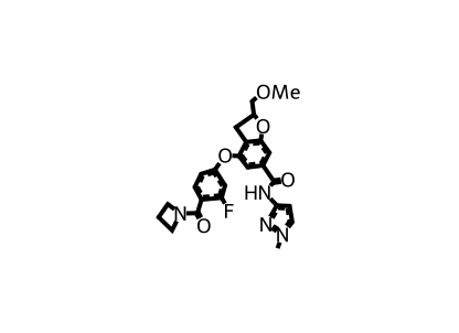 COCC1Cc2c(Oc3ccc(C(=O)N4CCC4)c(F)c3)cc(C(=O)Nc3ccn(C)n3)cc2O1